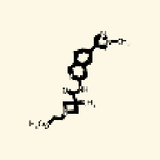 COCCN1CC(C)(C(=O)Nc2cc3cc(-c4cnn(C)c4)ccc3cn2)C1